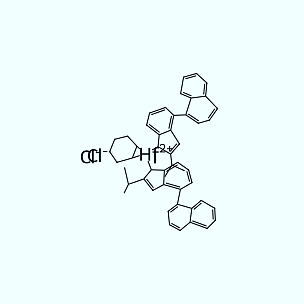 CC(C)C1=Cc2c(-c3cccc4ccccc34)cccc2[CH]1[Hf+2]1([CH]2C(C(C)C)=Cc3c(-c4cccc5ccccc45)cccc32)[CH]2CCCC[CH]21.[Cl-].[Cl-]